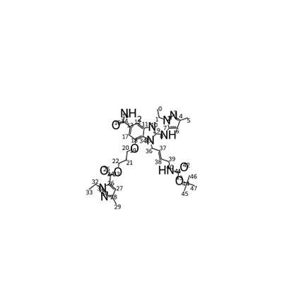 CCn1nc(C)cc1Nc1nc2cc(C(N)=O)cc(OCCCOC(=O)c3cc(C)nn3CC)c2n1C/C=C/CNC(=O)OC(C)(C)C